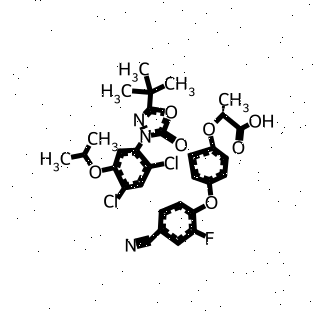 CC(C)Oc1cc(-n2nc(C(C)(C)C)oc2=O)c(Cl)cc1Cl.C[C@@H](Oc1ccc(Oc2ccc(C#N)cc2F)cc1)C(=O)O